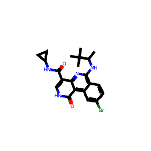 CC(Nc1nc2c(C(=O)NC3CC3)c[nH]c(=O)c2c2cc(Br)ccc12)C(C)(C)C